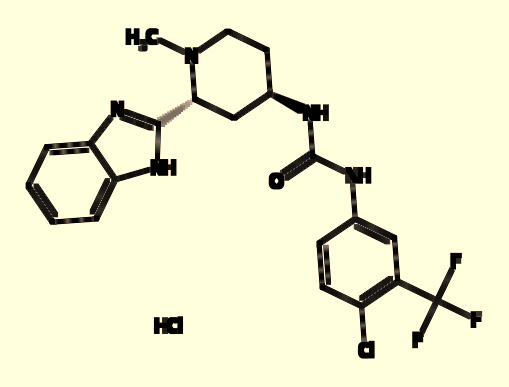 CN1CC[C@@H](NC(=O)Nc2ccc(Cl)c(C(F)(F)F)c2)C[C@@H]1c1nc2ccccc2[nH]1.Cl